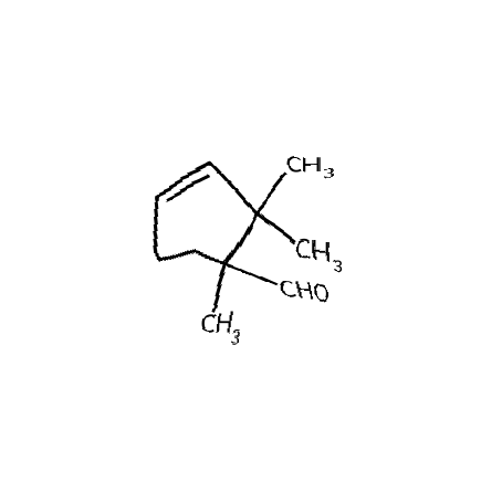 CC1(C)C=CCC1(C)C=O